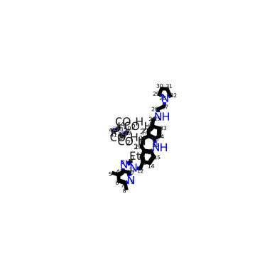 CCc1nc2c(C)cc(C)nc2n1Cc1ccc2c(c1)CCc1cc(CNCCN3CCCC3)ccc1N2.O=C(O)/C=C/C(=O)O.O=C(O)/C=C/C(=O)O